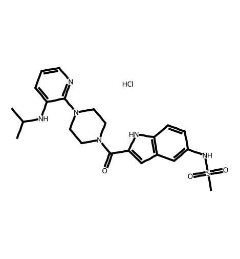 CC(C)Nc1cccnc1N1CCN(C(=O)c2cc3cc(NS(C)(=O)=O)ccc3[nH]2)CC1.Cl